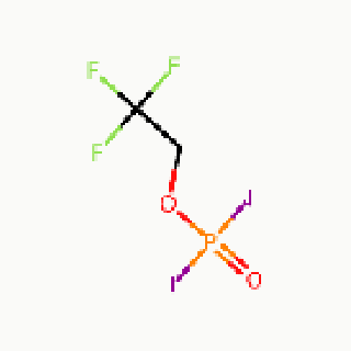 O=P(I)(I)OCC(F)(F)F